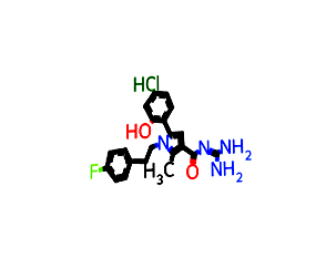 Cc1c(C(=O)N=C(N)N)cc(-c2ccccc2O)n1CCc1ccc(F)cc1.Cl